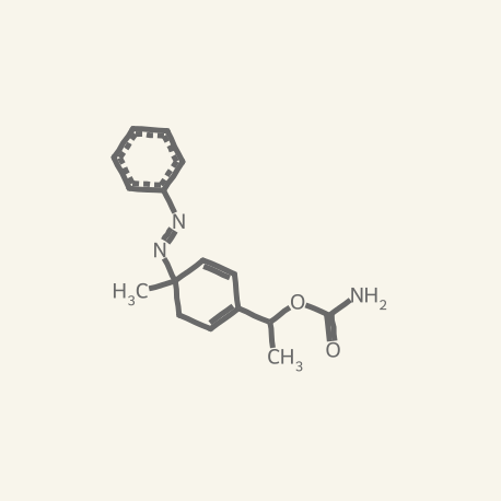 CC(OC(N)=O)C1=CCC(C)(N=Nc2ccccc2)C=C1